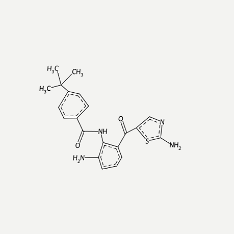 CC(C)(C)c1ccc(C(=O)Nc2c(N)cccc2C(=O)c2cnc(N)s2)cc1